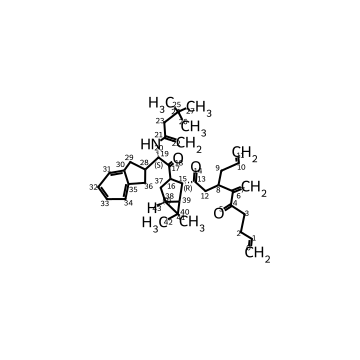 C=CCCC(=O)C(=C)C(CC=C)CC(=O)[C@H]1C(C(=O)[C@@H](NC(=C)CC(C)(C)C)C2Cc3ccccc3C2)C[C@@H]2C1C2(C)C